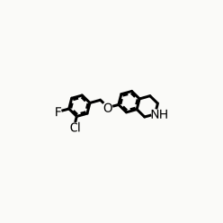 Fc1ccc(COc2ccc3c(c2)CNCC3)cc1Cl